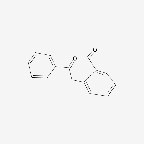 O=Cc1ccccc1CC(=O)c1ccccc1